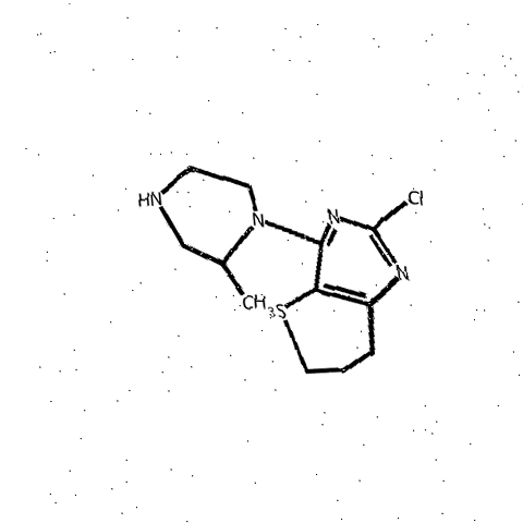 CC1CNCCN1c1nc(Cl)nc2c1SCCC2